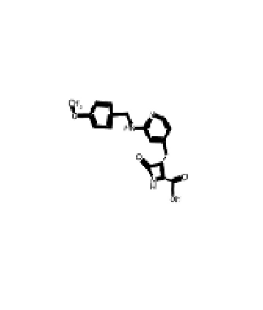 COc1ccc(CNc2cc(C[C@H]3C(=O)N[C@@H]3C(=O)O)ccn2)cc1